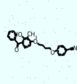 Cc1c(OCCCCOc2ccc(C#N)cc2)ccc(C(=O)c2ccccc2)c1O